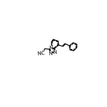 N#CCc1nnc2c(C=Cc3ccccc3)cccn12